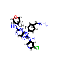 CC1(Nc2ncc3nc(Nc4cncc(Cl)c4)n(C4CCC(CN)CC4)c3n2)CCOCC1